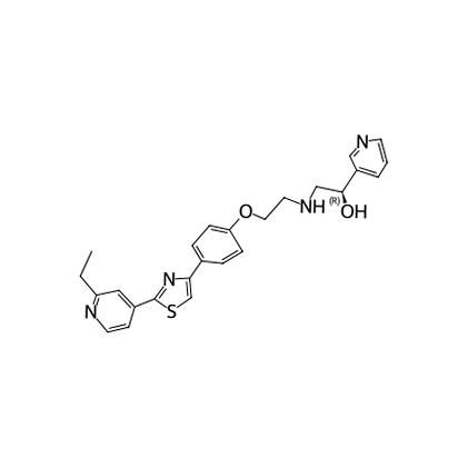 CCc1cc(-c2nc(-c3ccc(OCCNC[C@H](O)c4cccnc4)cc3)cs2)ccn1